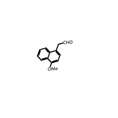 COc1ccc(CC=O)c2ccccc12